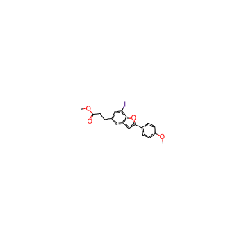 COC(=O)CCc1cc(I)c2oc(-c3ccc(OC)cc3)cc2c1